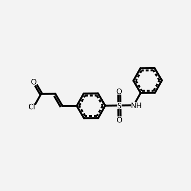 O=C(Cl)/C=C/c1ccc(S(=O)(=O)Nc2ccccc2)cc1